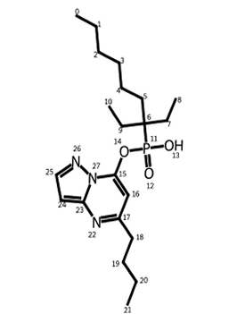 CCCCCCC(CC)(CC)P(=O)(O)Oc1cc(CCCC)nc2ccnn12